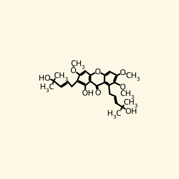 COc1cc2oc3cc(OC)c(OC)c(CC=CC(C)(C)O)c3c(=O)c2c(O)c1CC=CC(C)(C)O